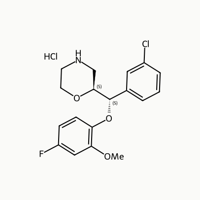 COc1cc(F)ccc1O[C@@H](c1cccc(Cl)c1)[C@@H]1CNCCO1.Cl